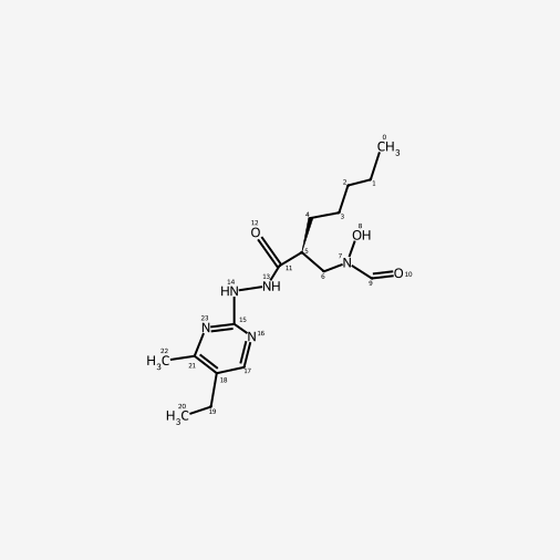 CCCCC[C@@H](CN(O)C=O)C(=O)NNc1ncc(CC)c(C)n1